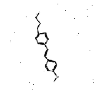 CCCCc1ccc(C=Cc2ccc(OC)cc2)cc1